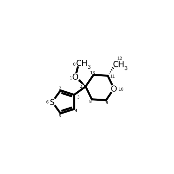 CO[C@]1(c2ccsc2)CCO[C@@H](C)C1